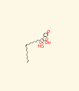 CCCCCCCC/C=C\CCCCCCCCC(=C(C(=O)O)C(=O)CO)c1ccc(OC)cc1